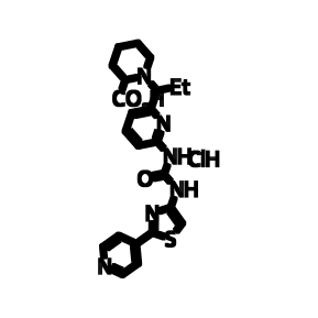 CCC(c1cccc(NC(=O)Nc2csc(-c3ccncc3)n2)n1)N1CCCCC1C(=O)O.Cl